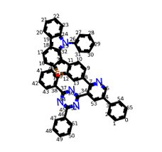 c1ccc(-c2cnc(-c3ccc4c(c3)sc3ccc5c6ccccc6n(-c6ccccc6)c5c34)c(-c3nc(-c4ccccc4)nc(-c4ccccc4)n3)c2)cc1